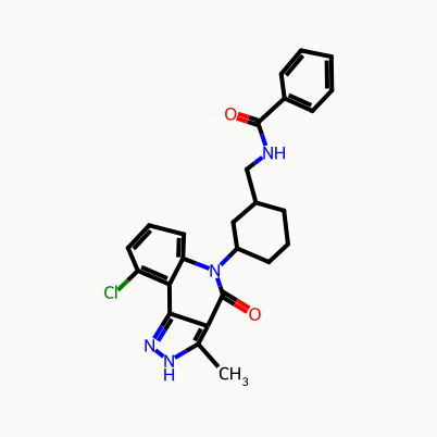 Cc1[nH]nc2c1c(=O)n(C1CCCC(CNC(=O)c3ccccc3)C1)c1cccc(Cl)c21